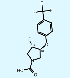 O=C(O)N1C[C@H](Oc2ccc(C(F)(F)F)cc2)[C@@H](F)C1